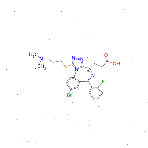 CN(C)CCCSc1nnc2n1-c1ccc(Br)cc1C(c1ccccc1F)=N[C@H]2CCC(=O)O